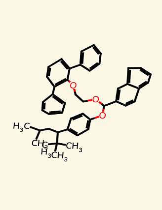 CC(C)CC(c1ccc(OC(OCCOc2c(-c3ccccc3)cccc2-c2ccccc2)c2ccc3ccccc3c2)cc1)C(C)(C)C